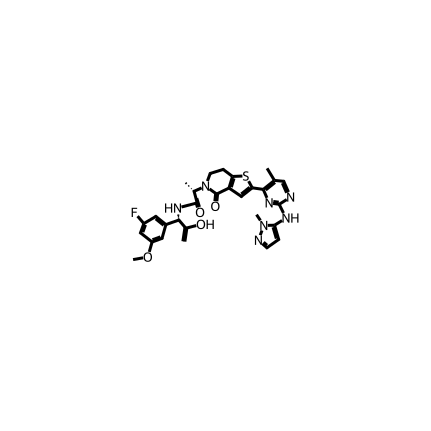 C=C(O)[C@@H](NC(=O)[C@H](C)N1CCc2sc(-c3nc(Nc4ccnn4C)ncc3C)cc2C1=O)c1cc(F)cc(OC)c1